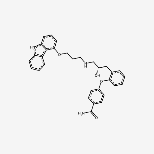 NC(=O)c1ccc(Oc2ccccc2C[C@H](O)CNCCCOc2cccc3[nH]c4ccccc4c23)cc1